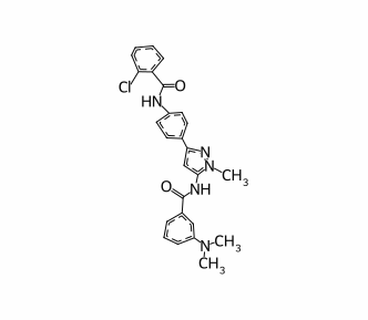 CN(C)c1cccc(C(=O)Nc2cc(-c3ccc(NC(=O)c4ccccc4Cl)cc3)nn2C)c1